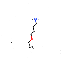 CCOCCCC[NH]